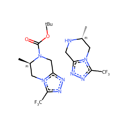 C[C@@H]1Cn2c(nnc2C(F)(F)F)CN1.C[C@@H]1Cn2c(nnc2C(F)(F)F)CN1C(=O)OC(C)(C)C